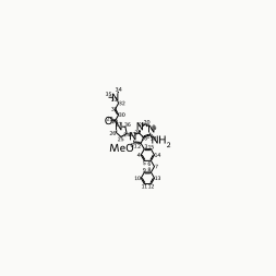 COc1c(-c2ccc(Cc3ccccc3)cc2)c2c(N)ncnc2n1[C@@H]1CCN(C(=O)/C=C/CN(C)C)C1